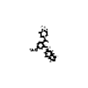 CSc1ncc(C(=O)N2CCN(C)CC2)c(Nc2ccc3cn[nH]c3c2)n1